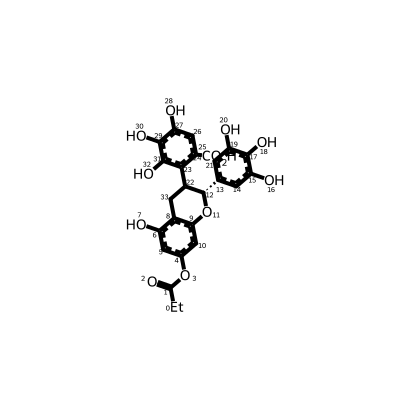 CCC(=O)Oc1cc(O)c2c(c1)O[C@@H](c1cc(O)c(O)c(O)c1)C(c1c(C(=O)O)cc(O)c(O)c1O)C2